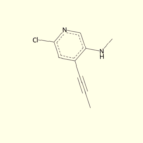 CC#Cc1cc(Cl)ncc1NC